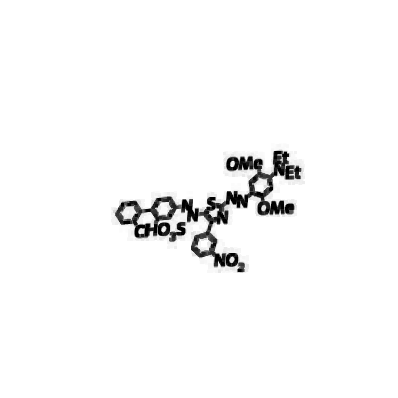 CCN(CC)c1cc(OC)c(N=Nc2nc(-c3cccc([N+](=O)[O-])c3)c(N=Nc3ccc(-c4ccccc4Cl)c(S(=O)(=O)O)c3)s2)cc1OC